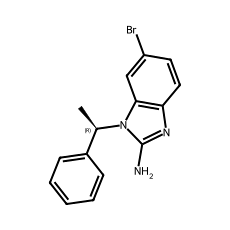 C[C@H](c1ccccc1)n1c(N)nc2ccc(Br)cc21